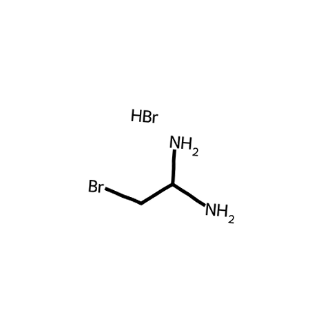 Br.NC(N)CBr